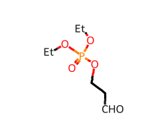 CCOP(=O)(OCC)OCCC=O